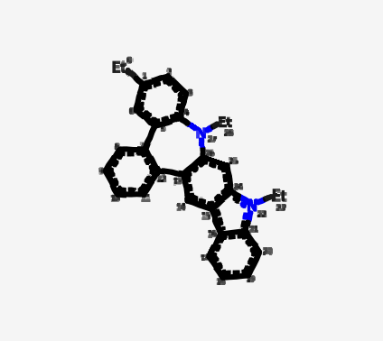 CCc1ccc2c(c1)-c1ccccc1-c1cc3c4ccccc4n(CC)c3cc1N2CC